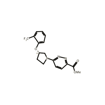 COC(=O)c1ccc(N2CC[C@H](Oc3ccccc3C(F)(F)F)C2)nn1